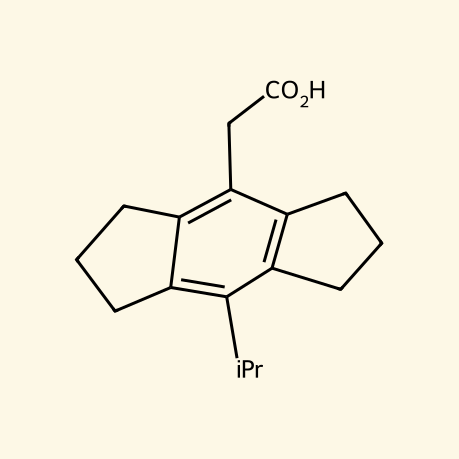 CC(C)c1c2c(c(CC(=O)O)c3c1CCC3)CCC2